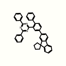 c1ccc(-c2nc(-c3ccccc3)nc(-c3cc(-c4ccc5c(c4)C4(CCCC4)c4ccccc4-5)ccc3-c3ccccc3)n2)cc1